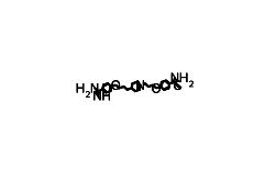 C=C=C(N)c1ccc(OCCCN2CCC(CCCOc3ccc(C(=N)N)cc3)CC2)cc1